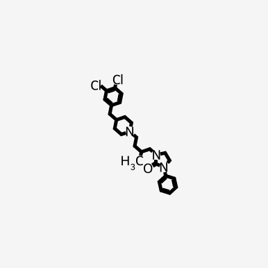 CC(CCN1CCC(Cc2ccc(Cl)c(Cl)c2)CC1)CN1CCN(c2ccccc2)C1=O